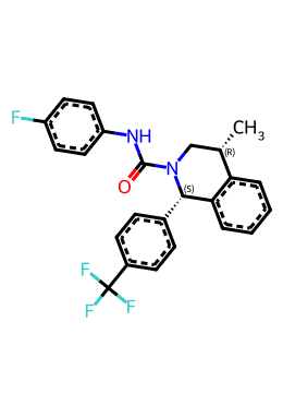 C[C@H]1CN(C(=O)Nc2ccc(F)cc2)[C@@H](c2ccc(C(F)(F)F)cc2)c2ccccc21